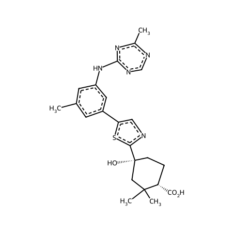 Cc1cc(Nc2ncnc(C)n2)cc(-c2cnc([C@@]3(O)CC[C@H](C(=O)O)C(C)(C)C3)s2)c1